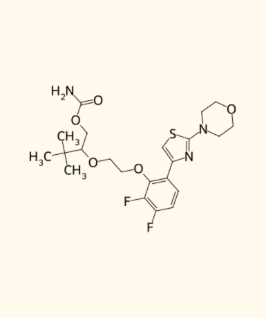 CC(C)(C)C(COC(N)=O)OCCOc1c(-c2csc(N3CCOCC3)n2)ccc(F)c1F